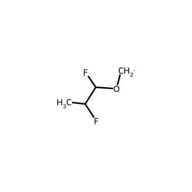 [CH2]OC(F)C(C)F